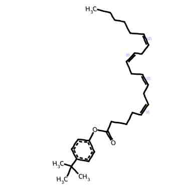 CCCCC/C=C\C/C=C\C/C=C\C/C=C\CCCC(=O)Oc1ccc(C(C)(C)C)cc1